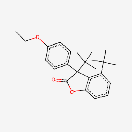 CCOc1ccc(C2(C(C)(C)C)C(=O)Oc3cccc(C(C)(C)C)c32)cc1